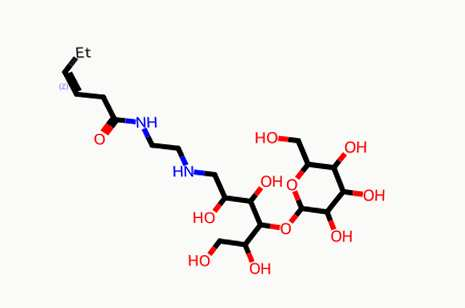 CC/C=C\CC(=O)NCCNCC(O)C(O)C(OC1OC(CO)C(O)C(O)C1O)C(O)CO